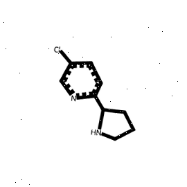 Clc1ccc(C2CCCN2)nc1